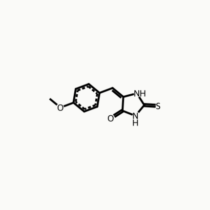 COc1ccc(C=C2NC(=S)NC2=O)cc1